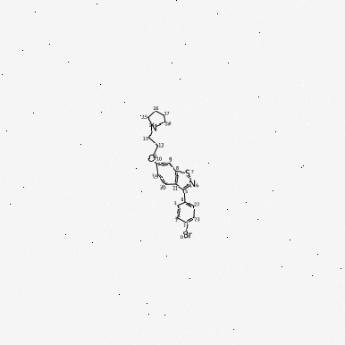 Brc1ccc(-c2nsc3cc(OCCN4CCCC4)ccc23)cc1